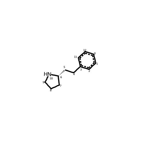 c1ccc(CC[C@@H]2CCCN2)cc1